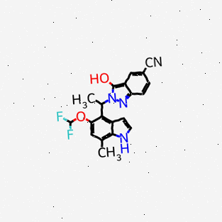 Cc1cc(OC(F)F)c(C(C)n2nc3ccc(C#N)cc3c2O)c2cc[nH]c12